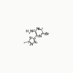 Cc1nnc(-c2nc(Br)cnc2N)s1